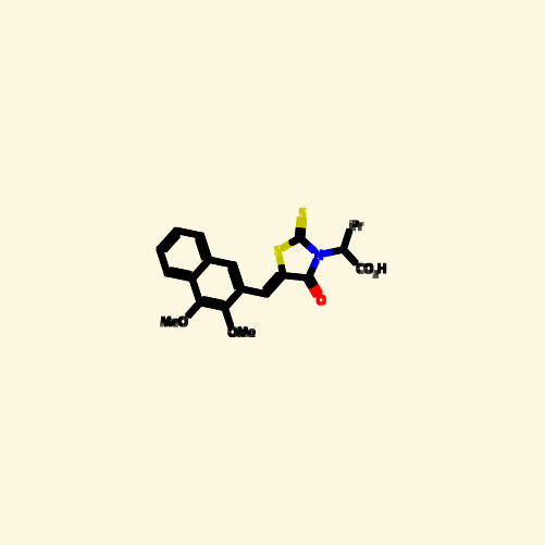 COc1c(C=C2SC(=S)N(C(C(=O)O)C(C)C)C2=O)cc2ccccc2c1OC